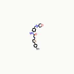 CC(C)c1ccc(-c2ccc(/C=C/C(=O)Nc3ccc(C[N+](C)(C)C4CCOCC4)cc3)s2)cc1.[I-]